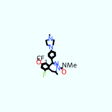 CNC(=O)N1N=C(c2ccc(N3CCN(C)CC3)cc2)c2cc(OC(F)(F)F)cc(F)c2CC1C